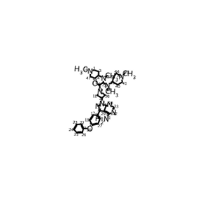 CN1CCC(N(C)C(C(=O)N2CC(n3nc(-c4ccc(Oc5ccccc5)cc4)c4c(N)ncnc43)C2)N(C)C2CCN(C)CC2)CC1